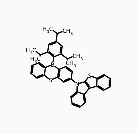 CC(C)c1cc(C(C)C)c(B2c3ccccc3Sc3cc(-n4c5ccccc5c5c6ccccc6sc54)ccc32)c(C(C)C)c1